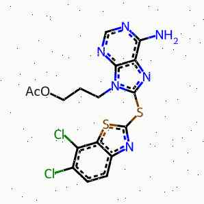 CC(=O)OCCCn1c(Sc2nc3ccc(Cl)c(Cl)c3s2)nc2c(N)ncnc21